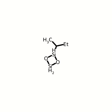 CCC(C)[SiH]1O[SiH2]O1